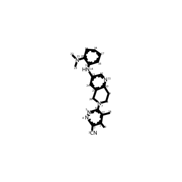 Cc1c(C#N)nnc(N2CCc3ncc(Nc4ccccc4N(C)C)cc3C2)c1C